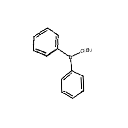 CC(C)COB(c1ccccc1)c1ccccc1